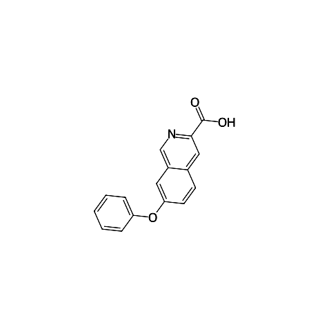 O=C(O)c1cc2ccc(Oc3ccccc3)cc2cn1